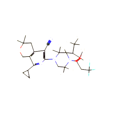 [2H]C([2H])([2H])C(C([2H])([2H])[2H])C1([2H])N(C(=O)CC(F)(F)F)C([2H])([2H])CN(c2nc(C3CC3)c3c(c2C#N)CC(C)(C)OC3)C1([2H])[2H]